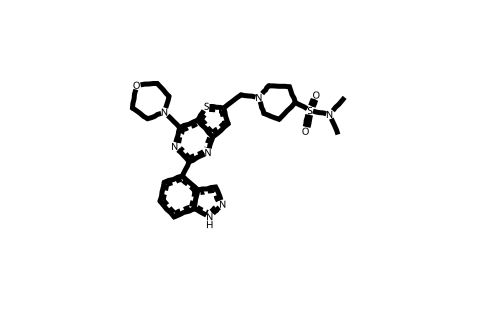 CN(C)S(=O)(=O)C1CCN(Cc2cc3nc(-c4cccc5[nH]ncc45)nc(N4CCOCC4)c3s2)CC1